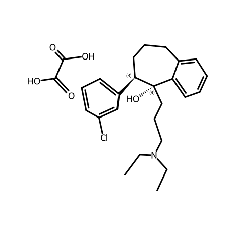 CCN(CC)CCC[C@]1(O)c2ccccc2CCC[C@@H]1c1cccc(Cl)c1.O=C(O)C(=O)O